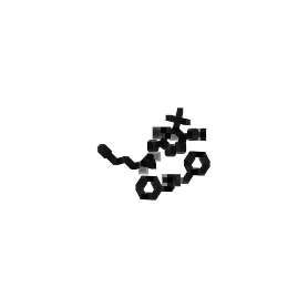 C#CCCC[C@@H]1C[C@H]1OC(=O)N[C@H](C(=O)O)C(C)(C)C.c1ccc(CNCc2ccccc2)cc1